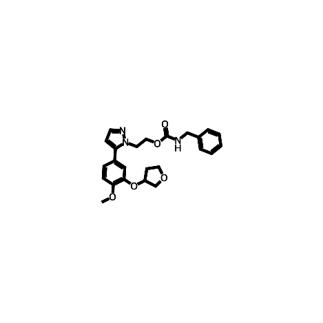 COc1ccc(-c2ccnn2CCOC(=O)NCc2ccccc2)cc1OC1CCOC1